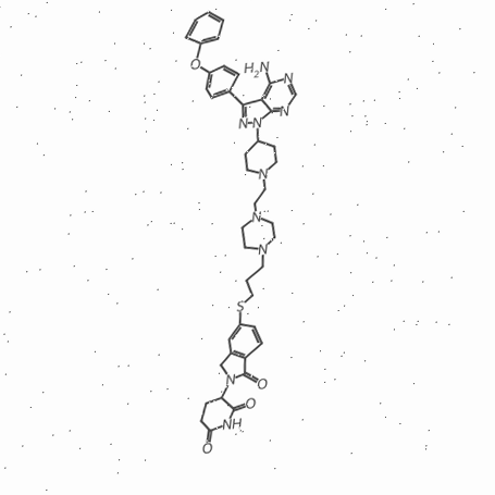 Nc1ncnc2c1c(-c1ccc(Oc3ccccc3)cc1)nn2C1CCN(CCN2CCN(CCCSc3ccc4c(c3)CN(C3CCC(=O)NC3=O)C4=O)CC2)CC1